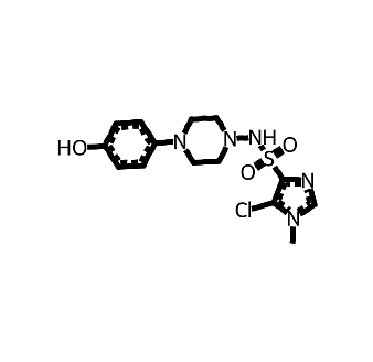 Cn1cnc(S(=O)(=O)NN2CCN(c3ccc(O)cc3)CC2)c1Cl